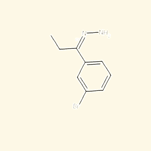 CC/C(=N/N)c1cccc(Br)c1